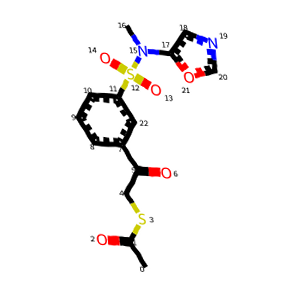 CC(=O)SCC(=O)c1cccc(S(=O)(=O)N(C)c2cnco2)c1